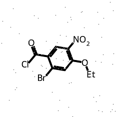 CCOc1cc(Br)c(C(=O)Cl)cc1[N+](=O)[O-]